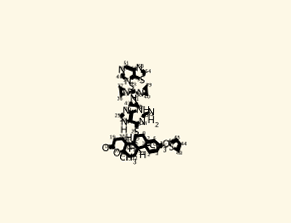 C[C@]12C=CC(=O)C=C1CC[C@@H]1[C@@H]2CC[C@]2(C)OC(=O)CC[C@@H]12.Nc1nc(=S)c2[nH]cnc2[nH]1.S=P(N1CC1)(N1CC1)N1CC1.c1ccsc1.c1ncc2ncsc2n1